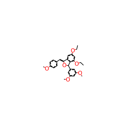 CCOc1cc(OCC)c2c(c1)C(=Cc1ccc(OC)cc1)OC2c1cc(OC)cc(OC)c1